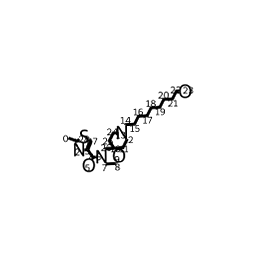 Cc1nc(C(=O)N2CCOC3(CCN(CCCCCCCCC=O)CC3)C2)cs1